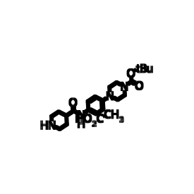 CC(=O)O.CC(C)(C)OC(=O)N1CCN(c2ccc(NC(=O)C3CCNCC3)cc2)CC1